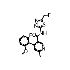 COc1cccc(F)c1-c1cc(C)ncc1C(=O)Nc1nnc(CF)s1